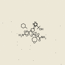 CC(C)(O)c1cnnn1[C@H]1C[C@@H](C(=O)NC2(C(=O)C(N)=O)CCCOCC2)N(C(=O)[C@@H](CC2CCCCC2)OC(N)=O)C1